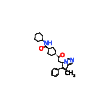 CC1=C(c2ccccc2)C(CC(=O)[C@H]2CC[C@H](C(=O)NC3CCCCC3)CC2)n2cncc21